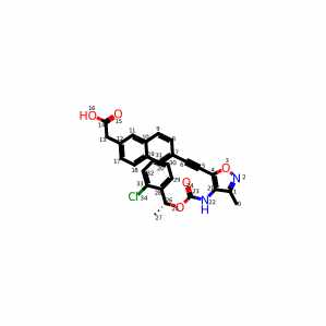 Cc1noc(C#Cc2ccc3cc(CC(=O)O)ccc3c2)c1NC(=O)O[C@H](C)c1ccccc1Cl